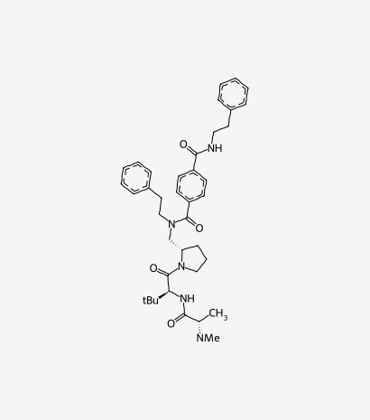 CN[C@@H](C)C(=O)N[C@H](C(=O)N1CCC[C@H]1CN(CCc1ccccc1)C(=O)c1ccc(C(=O)NCCc2ccccc2)cc1)C(C)(C)C